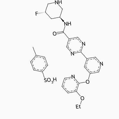 CCOc1cccnc1Oc1cncc(-c2ncc(C(=O)N[C@@H]3CNC[C@@H](F)C3)cn2)c1.Cc1ccc(S(=O)(=O)O)cc1